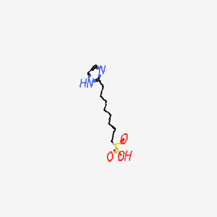 O=S(=O)(O)CCCCCCCCc1ncc[nH]1